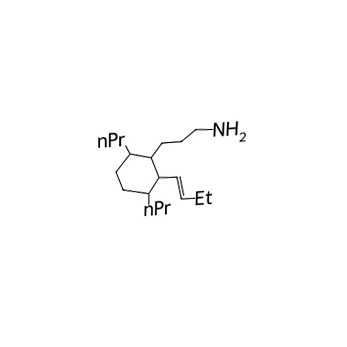 CCC=CC1C(CCC)CCC(CCC)C1CCCN